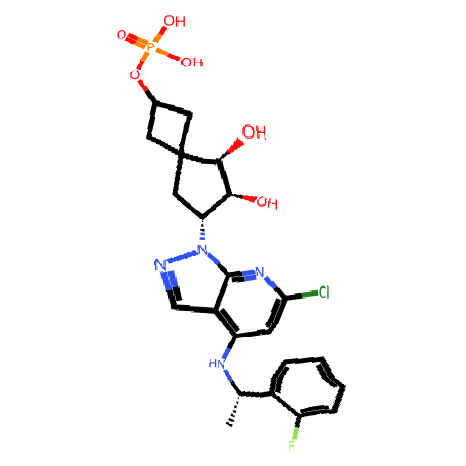 C[C@H](Nc1cc(Cl)nc2c1cnn2[C@@H]1CC2(CC(OP(=O)(O)O)C2)[C@@H](O)[C@H]1O)c1ccccc1F